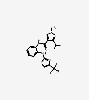 Cn1cc(C(=O)Nc2ccccc2Nc2nc(C(F)(F)F)cs2)c(C(F)F)n1